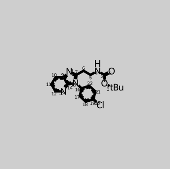 CC(C)(C)OC(=O)NCCc1nc2cccnc2n1-c1ccc(Cl)cc1